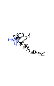 CCCCCCCCCCCCCCCCCCCCC(NC(=N)N)C(=O)O